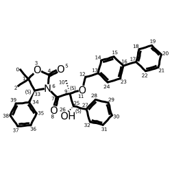 CC1(C)OC(=O)N(C(=O)[C@@](C)(OCc2ccc(-c3ccccc3)cc2)[C@@H](O)c2ccccc2)[C@H]1c1ccccc1